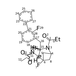 CCC(=O)N1C2CC(F)(C2)[C@H](NS(C)(=O)=O)[C@@H]1Cc1cccc(-c2ccccc2)c1F